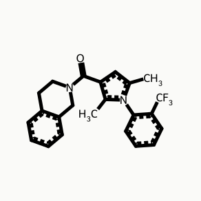 Cc1cc(C(=O)N2CCc3ccccc3C2)c(C)n1-c1ccccc1C(F)(F)F